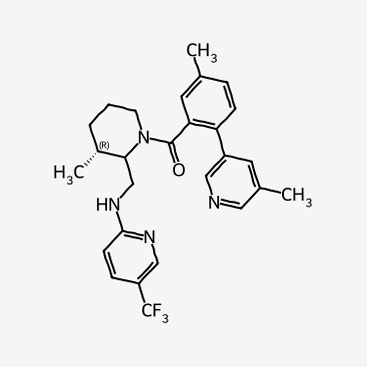 Cc1cncc(-c2ccc(C)cc2C(=O)N2CCC[C@@H](C)C2CNc2ccc(C(F)(F)F)cn2)c1